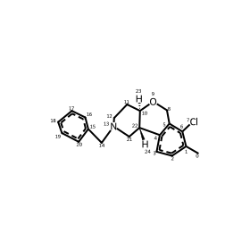 Cc1ccc2c(c1Cl)CO[C@@H]1CCN(Cc3ccccc3)C[C@@H]21